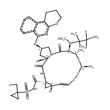 C[C@H]1CC/C=C\[C@@H]2C[C@@]2(C(=O)NS(=O)(=O)C2(CF)CC2)NC(=O)[C@@H]2C[C@@H](Oc3nc4c(c5ccccc35)CCCO4)CN2C(=O)[C@@H](N(C(=O)O)C(C)(C)C(C)(F)F)[C@H](C)C1